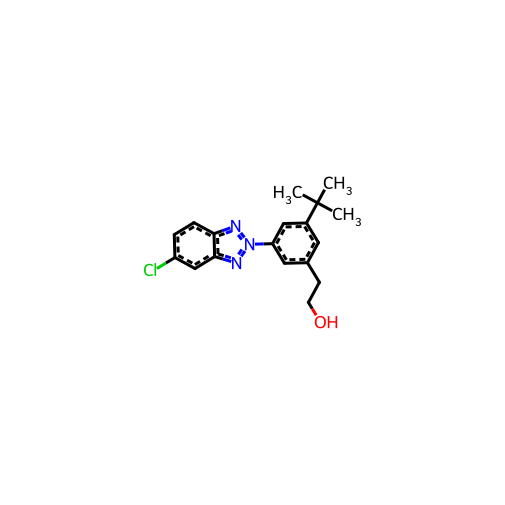 CC(C)(C)c1cc(CCO)cc(-n2nc3ccc(Cl)cc3n2)c1